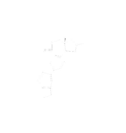 CN1C[C@H]2CNC(=O)c3cc(-c4ccc5c(c4)CCO5)ccc3[C@@H]2C1